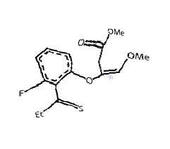 CCC(=S)c1c(F)cccc1O/C(=C/OC)C(=O)OC